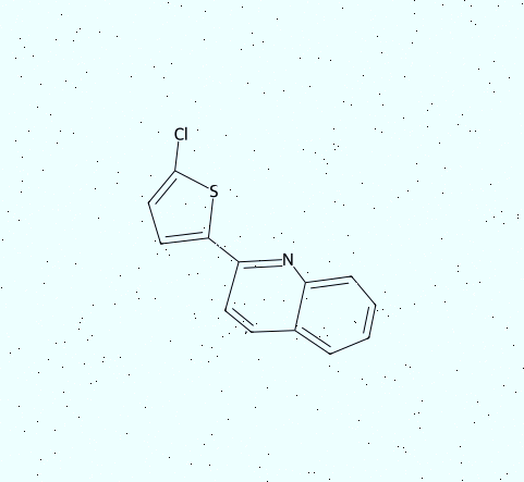 Clc1ccc(-c2c[c]c3ccccc3n2)s1